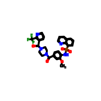 COc1cc(C(=O)N2CCN(C(=O)c3cccnc3C(F)(F)F)CC2)ccc1NS(=O)(=O)c1cccc2cccnc12